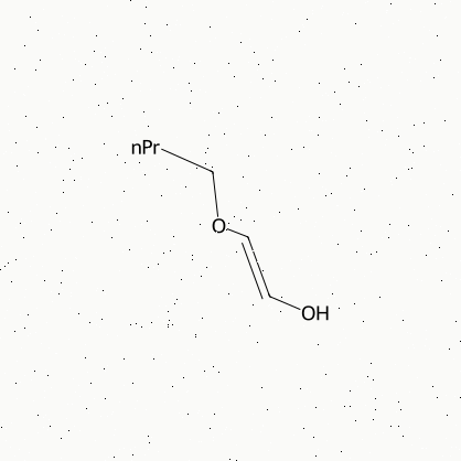 CCCCOC=CO